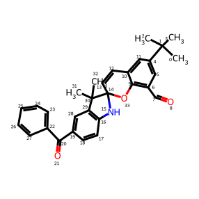 CC(C)(C)c1cc(C=O)c2c(c1)C=CC1(Nc3ccc(C(=O)c4ccccc4)cc3C1(C)C)O2